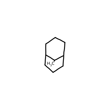 C[C]1C2CCCC1CCC2